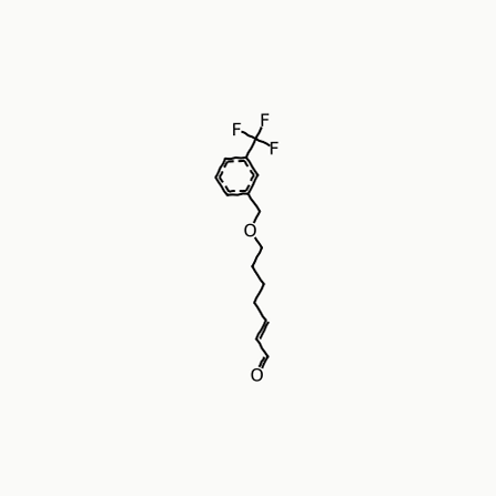 O=CC=CCCCCOCc1cccc(C(F)(F)F)c1